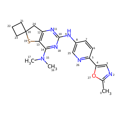 Cc1ncc(-c2ccc(Nc3nc4c(c(N(C)C)n3)SC3(CCC3)C4)cn2)o1